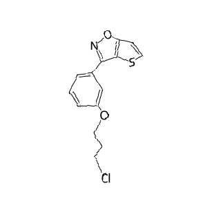 ClCCCOc1cccc(-c2noc3ccsc23)c1